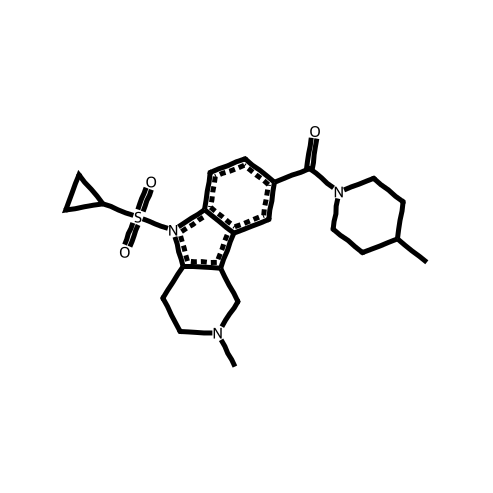 CC1CCN(C(=O)c2ccc3c(c2)c2c(n3S(=O)(=O)C3CC3)CCN(C)C2)CC1